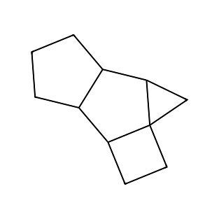 C1CC2C(C1)C1CC13CCC23